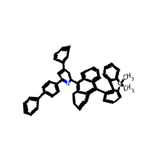 C[Si]1(C)c2ccccc2-c2c(-c3c4ccccc4c(-c4cc(-c5ccccc5)cc(-c5ccc(-c6ccccc6)cc5)n4)c4ccccc34)cccc21